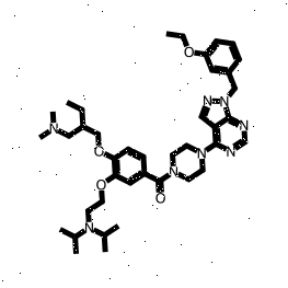 CCOc1cccc(Cn2ncc3c(N4CCN(C(=O)c5ccc(OCC(CC)CN(C)C)c(OCCN(C(C)C)C(C)C)c5)CC4)ncnc32)c1